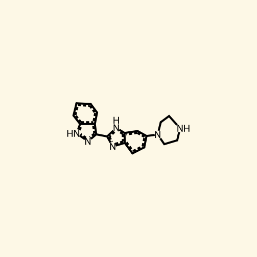 c1ccc2c(-c3nc4ccc(N5CCNCC5)cc4[nH]3)n[nH]c2c1